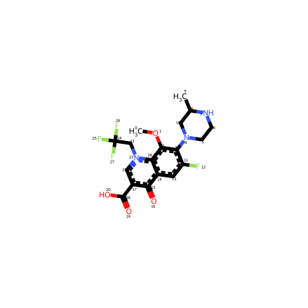 COc1c(N2CCNC(C)C2)c(F)cc2c(=O)c(C(=O)O)cn(CC(F)(F)F)c12